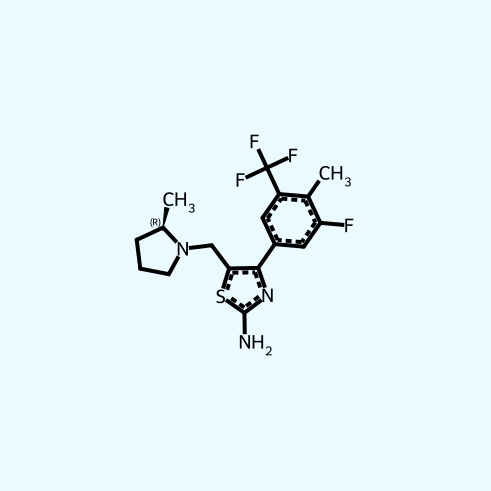 Cc1c(F)cc(-c2nc(N)sc2CN2CCC[C@H]2C)cc1C(F)(F)F